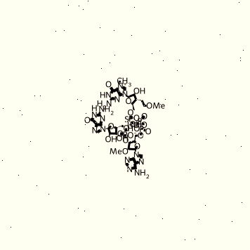 COCC[C@H]1[C@@H](O)[C@H](n2c[n+](C)c3c(=O)[nH]c(N)nc32)O[C@@H]1COP(O)(=S)OP(=O)(O)OP(=O)(O)OC[C@H]1O[C@@H](n2cnc3c(N)ncnc32)[C@H](OC)[C@@H]1OP(=O)([O-])OC[C@H]1O[C@@H](n2cnc3c(=O)[nH]c(N)nc32)[C@H](O)[C@@H]1O